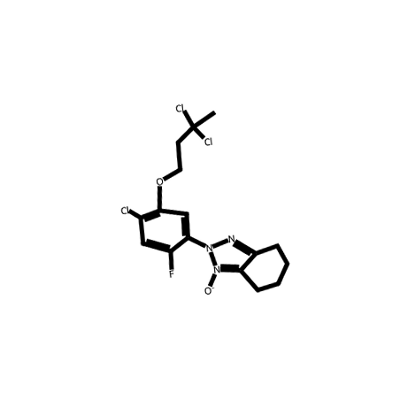 CC(Cl)(Cl)CCOc1cc(-n2nc3c([n+]2[O-])CCCC3)c(F)cc1Cl